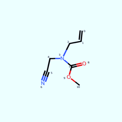 C=CCN(CC#N)C(=O)OC